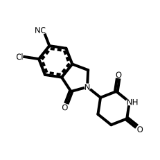 N#Cc1cc2c(cc1Cl)C(=O)N(C1CCC(=O)NC1=O)C2